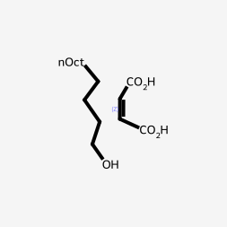 CCCCCCCCCCCCO.O=C(O)/C=C\C(=O)O